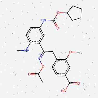 CNc1ccc(NC(=O)OC2CCCC2)cc1/C(Cc1ccc(C(=O)O)cc1OC)=N/OC(C)=O